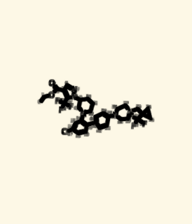 CCOC(=O)c1cnn(C2CCCN(c3cc(Cl)ccc3-c3ccc(N4CCN(CC5(C(F)(F)F)CC5)CC4)cc3)C2)c1C(F)(F)F